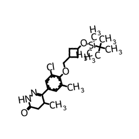 Cc1cc(C2=NNC(=O)CC2C)cc(Cl)c1OCC1CC(O[Si](C)(C)C(C)(C)C)C1